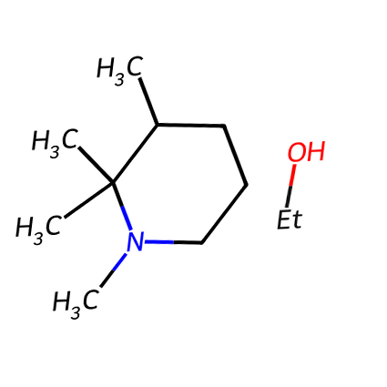 CC1CCCN(C)C1(C)C.CCO